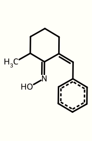 CC1CCCC(=Cc2ccccc2)C1=NO